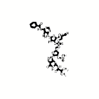 CC(C)C(=O)Nc1nc2c(nnn2[C@@H]2O[C@H](COP(=S)(OCCC#N)O[C@H]3[C@H](F)[C@H](n4nnc5c(NC(=O)c6ccccc6)ncnc54)O[C@@H]3CO)C[C@@H]2O[PH](=O)O)c(=O)[nH]1